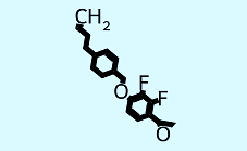 C=CCCC1C=CC(COc2ccc(C3CO3)c(F)c2F)CC1